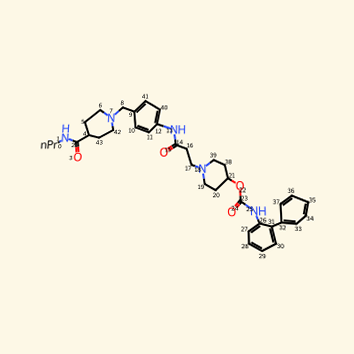 CCCNC(=O)C1CCN(Cc2ccc(NC(=O)CCN3CCC(OC(=O)Nc4ccccc4-c4ccccc4)CC3)cc2)CC1